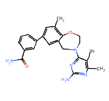 Cc1cc(-c2cccc(C(N)=O)c2)cc2c1OCCN(c1nc(N)nc(C)c1C(C)C)C2